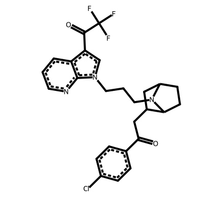 O=C(CC1CC2CCC1N2CCCn1cc(C(=O)C(F)(F)F)c2cccnc21)c1ccc(Cl)cc1